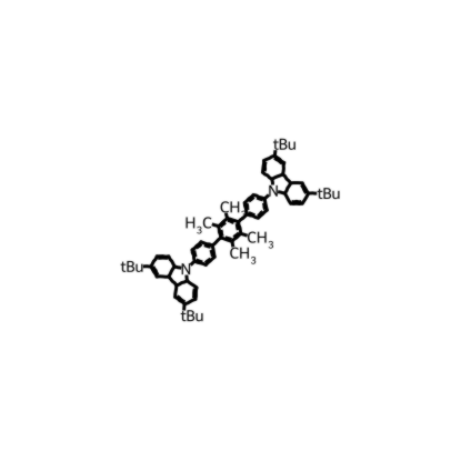 Cc1c(C)c(-c2ccc(N3C4C=CC(C(C)(C)C)=CC4C4C=C(C(C)(C)C)C=CC43)cc2)c(C)c(C)c1-c1ccc(N2C3C=CC(C(C)(C)C)=CC3C3C=C(C(C)(C)C)C=CC32)cc1